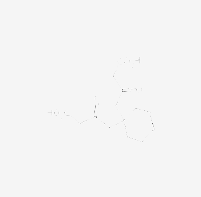 O=C(O)CC(=O)CC1(CC(=O)CC(=O)O)CCCCC1